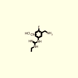 CCNC(=N)Nc1ccc(F)c(CN)c1.Cl.Cl